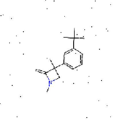 C=C1N(C)CC1(C)c1cccc(C(C)(C)C)c1